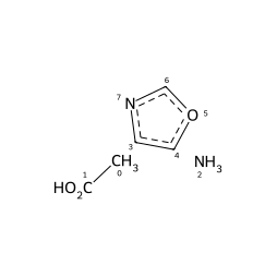 CC(=O)O.N.c1cocn1